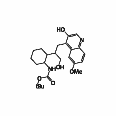 COc1ccc2ncc(O)c(CC(CO)C3CCCCC3NC(=O)OC(C)(C)C)c2c1